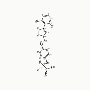 Fc1cccc(F)c1C1=NC(COc2ccc(SC(F)(F)C(F)F)cc2)CO1